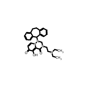 CCN(CC)CCN1CN(C2c3ccccc3CCc3ccccc32)n2ccc(=O)c(O)c2C1=O